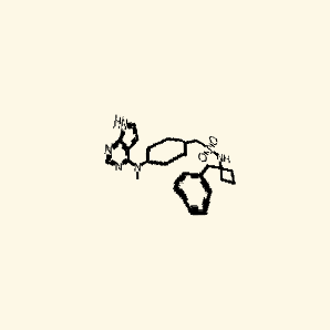 CN(c1ncnc2[nH]ccc12)C1CCC(CS(=O)(=O)NC2(Cc3ccccc3)CCC2)CC1